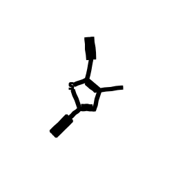 C#Cc1cc(C)c(C#C)s1